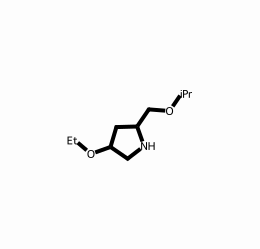 CCOC1CNC(COC(C)C)C1